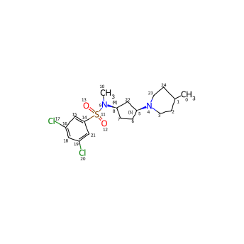 CC1CCN([C@H]2CC[C@@H](N(C)S(=O)(=O)c3cc(Cl)cc(Cl)c3)C2)CC1